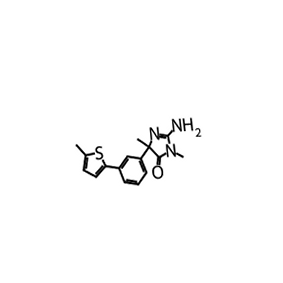 Cc1ccc(-c2cccc(C3(C)N=C(N)N(C)C3=O)c2)s1